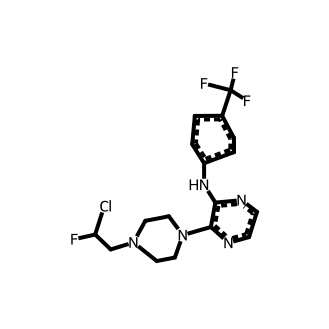 FC(Cl)CN1CCN(c2nccnc2Nc2ccc(C(F)(F)F)cc2)CC1